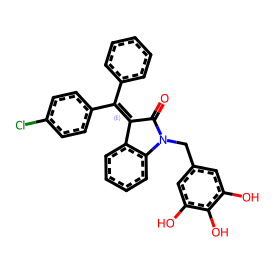 O=C1/C(=C(\c2ccccc2)c2ccc(Cl)cc2)c2ccccc2N1Cc1cc(O)c(O)c(O)c1